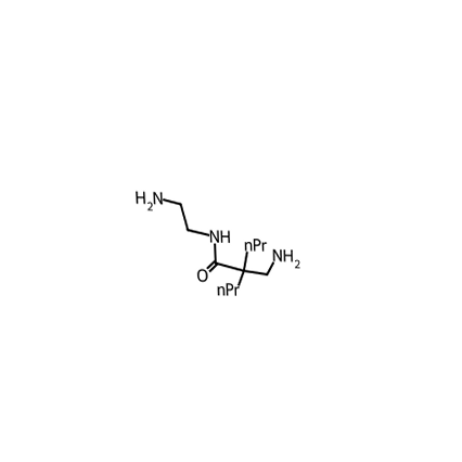 CCCC(CN)(CCC)C(=O)NCCN